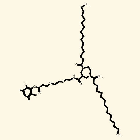 C=C(CCCCCCCCCCCCCCC)N1CCN(C(=O)CCCCCCCCCCCCCCC)CC(C(=O)NCCOCCOCCC(=O)Oc2c(F)c(F)cc(F)c2F)C1